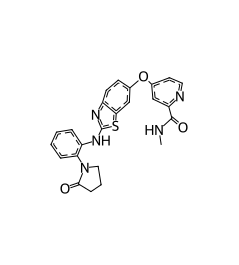 CNC(=O)c1cc(Oc2ccc3nc(Nc4ccccc4N4CCCC4=O)sc3c2)ccn1